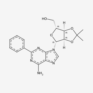 CC1(C)O[C@@H]2[C@H](O1)[C@@H](CO)O[C@H]2n1cnc2c(N)nc(-c3ccccc3)nc21